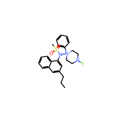 CCCc1cc(N([N+]2(c3ccccc3)CCN(F)CC2)S(C)(=O)=O)c2ccccc2c1